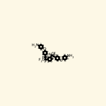 Nc1ccc(Oc2ccc(C(F)(F)C(F)(c3cccc(C(F)(C(F)(F)F)C(F)(F)c4ccc(Oc5ccc(N)cc5)cc4)c3)C(F)(F)F)cc2)cc1